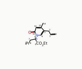 C=CCc1cn(C(CC(C)C)C(=O)OCC)c(=O)cc1C